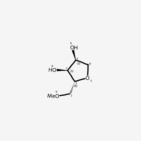 COC[C@H]1O[CH][C@H](O)[C@@H]1O